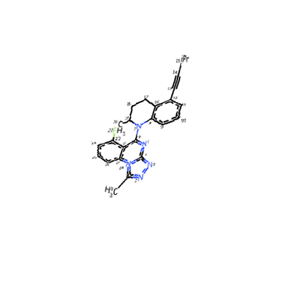 Cc1nnc2nc(N3c4cccc(C#CC(C)C)c4CCC3C)c3c(F)cccc3n12